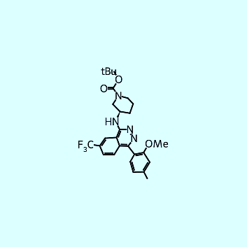 COc1cc(C)ccc1-c1nnc(N[C@@H]2CCCN(C(=O)OC(C)(C)C)C2)c2cc(C(F)(F)F)ccc12